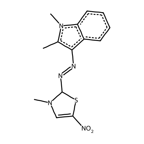 Cc1c(N=NC2SC([N+](=O)[O-])=CN2C)c2ccccc2n1C